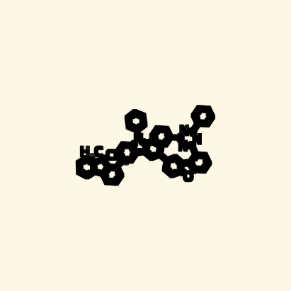 CC1(C)c2ccccc2-c2cccc(-c3ccc4c(c3)c3cc(-c5ccc6oc7cccc(-c8nc(-c9ccccc9)nc(-c9ccccc9)n8)c7c6c5)ccc3n4-c3ccccc3)c21